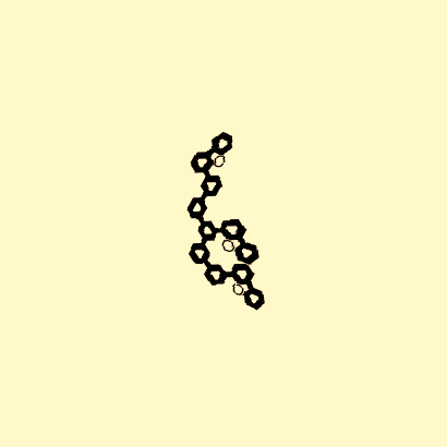 c1cc(-c2cccc(-c3cccc4c3oc3ccccc34)c2)cc(-c2cc(-c3cccc(-c4cccc(-c5cccc6c5oc5ccccc56)c4)c3)cc(-c3cccc4c3oc3ccccc34)c2)c1